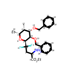 CCOC(=O)C(N)CC(F)(F)[C@H]1O[C@H](CC)[C@H](C)[C@H](OCc2ccccc2)[C@H]1OCc1ccccc1